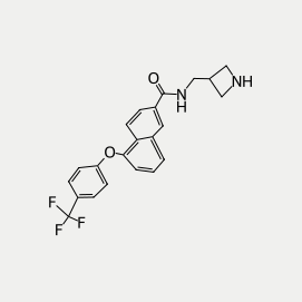 O=C(NCC1CNC1)c1ccc2c(Oc3ccc(C(F)(F)F)cc3)cccc2c1